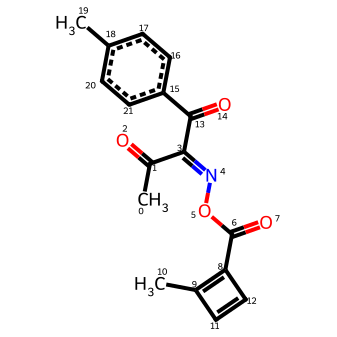 CC(=O)/C(=N\OC(=O)C1=C(C)C=C1)C(=O)c1ccc(C)cc1